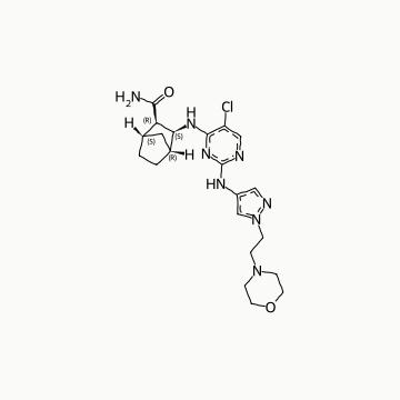 NC(=O)[C@@H]1[C@H]2CC[C@H](C2)[C@@H]1Nc1nc(Nc2cnn(CCN3CCOCC3)c2)ncc1Cl